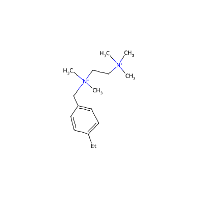 CCc1ccc(C[N+](C)(C)CC[N+](C)(C)C)cc1